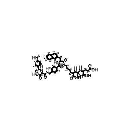 NNc1ccc(C(=O)NC(C(=O)O)C(=O)NCc2ccc(C(=O)NC(Cc3ccc4ccccc4c3)C(=O)NCCCCC(NC(=O)NC(CCC(=O)O)C(=O)O)C(=O)O)cc2)cn1